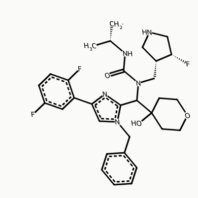 [CH2][C@@H](C)NC(=O)N(C[C@@H]1CNC[C@@H]1F)C(c1nc(-c2cc(F)ccc2F)cn1Cc1ccccc1)C1(O)CCOCC1